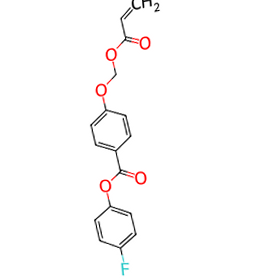 C=CC(=O)OCOc1ccc(C(=O)Oc2ccc(F)cc2)cc1